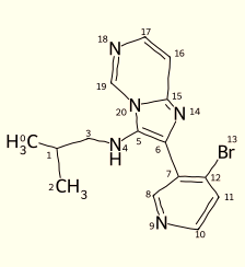 CC(C)CNc1c(-c2cnccc2Br)nc2ccncn12